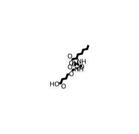 CCCCCC(NS(=O)(=O)NC(=O)OCCCC(=O)O)C(=O)O